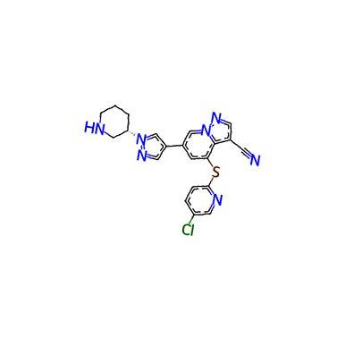 N#Cc1cnn2cc(-c3cnn([C@H]4CCCNC4)c3)cc(Sc3ccc(Cl)cn3)c12